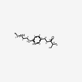 CSNCCOc1ccc(CCC(=O)C(C)C)cn1